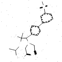 CC(C)C[C@@H](C(N)=O)N(CC#N)C(c1ccc(-c2cccc(S(C)(=O)=O)c2)cc1)C(F)(F)F